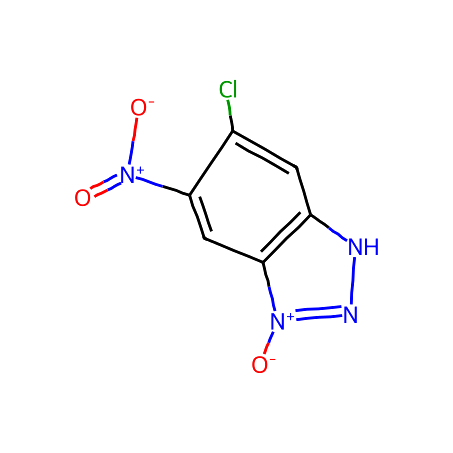 O=[N+]([O-])c1cc2c(cc1Cl)[nH]n[n+]2[O-]